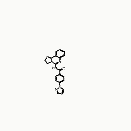 O=C(NC1=Nc2ccccc2C2=NCCN12)c1ccc(-n2cccn2)cc1